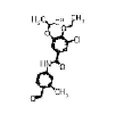 CCOc1c(Cl)cc(C(=O)Nc2ccc(C=O)c(C)c2)cc1OC(C)C